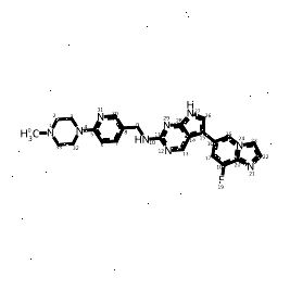 CN1CCN(c2ccc(CNc3ncc4c(-c5cc(F)c6nccn6c5)c[nH]c4n3)cn2)CC1